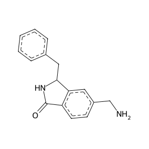 NCc1ccc2c(c1)C(Cc1ccccc1)NC2=O